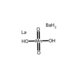 [BaH2].[La].[O]=[Mn](=[O])([OH])[OH]